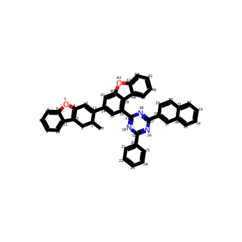 CC1Cc2c(oc3ccccc23)C=C1c1cc(-c2nc(-c3ccccc3)nc(-c3ccc4ccccc4c3)n2)c2c(c1)oc1ccccc12